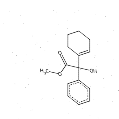 COC(=O)C(O)(C1=CCCCC1)c1ccccc1